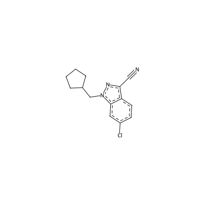 N#Cc1nn(CC2CCCC2)c2cc(Cl)ccc12